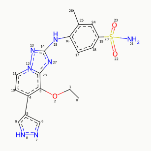 CCOc1c(-c2cn[nH]c2)ccn2nc(Nc3ccc(S(N)(=O)=O)cc3C)nc12